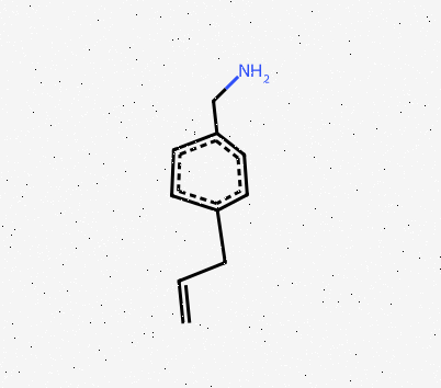 C=CCc1ccc(CN)cc1